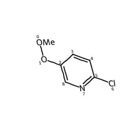 COOc1ccc(Cl)nc1